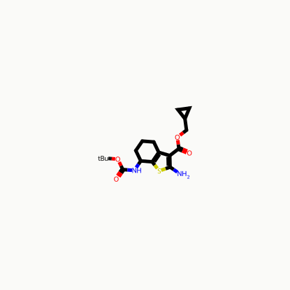 CC(C)(C)OC(=O)NC1CCCc2c1sc(N)c2C(=O)OCC1CC1